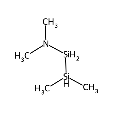 CN(C)[SiH2][SiH](C)C